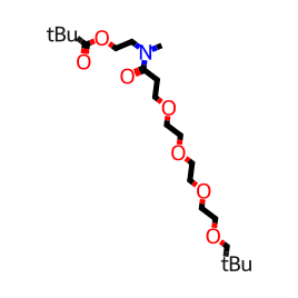 CN(CCOC(=O)C(C)(C)C)C(=O)CCOCCOCCOCCOCC(C)(C)C